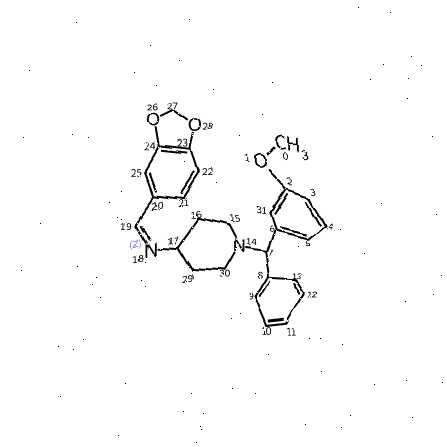 COc1cccc(C(c2ccccc2)N2CCC(/N=C\c3ccc4c(c3)OCO4)CC2)c1